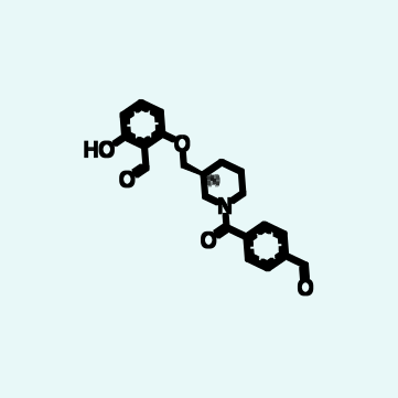 O=Cc1ccc(C(=O)N2CCC[C@H](COc3cccc(O)c3C=O)C2)cc1